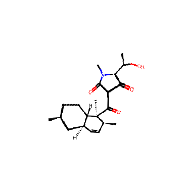 C[C@H]1CC[C@H]2[C@@H](C=C[C@H](C)[C@]2(C)C(=O)C2C(=O)[C@H]([C@@H](C)O)N(C)C2=O)C1